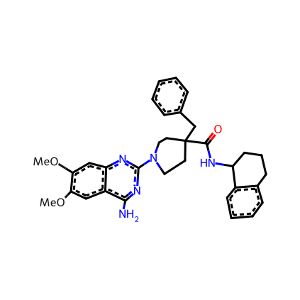 COc1cc2nc(N3CCC(Cc4ccccc4)(C(=O)NC4CCCc5ccccc54)CC3)nc(N)c2cc1OC